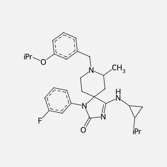 CC(C)Oc1cccc(CN2CCC3(CC2C)C(NC2CC2C(C)C)=NC(=O)N3c2cccc(F)c2)c1